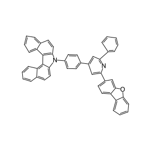 c1ccc(-c2cc(-c3ccc(-n4c5ccc6ccccc6c5c5c6ccccc6ccc54)cc3)cc(-c3ccc4c(c3)oc3ccccc34)n2)cc1